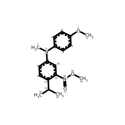 COc1ccc(N(C)c2ccc(C(C)C)c([N+](=O)OC)c2)cc1